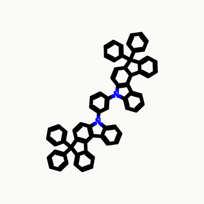 C1=CC2C(c3ccccc3C2(c2ccccc2)c2ccccc2)c2c1n(-c1cccc(-n3c4ccccc4c4c5c(ccc43)C(c3ccccc3)(c3ccccc3)c3ccccc3-5)c1)c1ccccc21